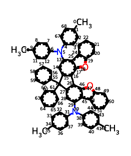 Cc1ccc(N(c2ccc(C)cc2)c2cc3c(c4oc5ccccc5c24)-c2c(cc(N(c4ccc(C)cc4)c4ccc(C)cc4)c4c2oc2ccccc24)C3(c2ccccc2)c2ccccc2)cc1